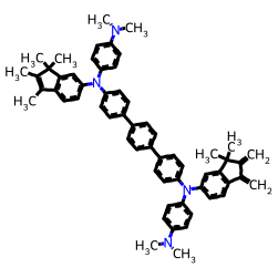 C=C1C(=C)C(C)(C)c2cc(N(c3ccc(-c4ccc(-c5ccc(N(c6ccc(N(C)C)cc6)c6ccc7c(c6)C(C)(C)C(C)=C7C)cc5)cc4)cc3)c3ccc(N(C)C)cc3)ccc21